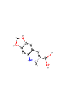 CC(=Cc1cc2c(cc1N)OCO2)C(=O)O